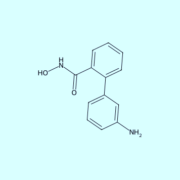 Nc1cccc(-c2ccccc2C(=O)NO)c1